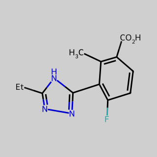 CCc1nnc(-c2c(F)ccc(C(=O)O)c2C)[nH]1